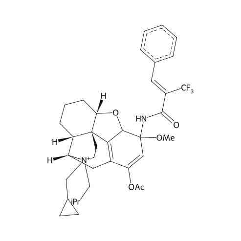 COC1(NC(=O)C(=Cc2ccccc2)C(F)(F)F)C=C(OC(C)=O)C2=C3C1O[C@H]1CCC[C@H]4[C@@H](C2)[N+](CC(C)C)(CC2CC2)CC[C@]314